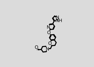 O=[C]C1CCN(CC2CCc3ccc(Oc4ccc(-c5ccn[nH]5)cn4)cc3O2)CC1